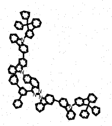 c1ccc(-c2cc(-c3ccccc3)cc(-c3nc(-n4c5ccccc5c5cc(-c6ccc7c(c6)c6ccccc6n7-c6ccc7c(c6)C(c6ccccc6)(c6ccccc6)c6ccccc6-7)ccc54)nc4ccc5cc(-n6c7ccccc7c7cc(-c8ccc9c(c8)c8ccccc8n9-c8ccc9c(c8)C(c8ccccc8)(c8ccccc8)c8ccccc8-9)ccc76)ccc5c34)c2)cc1